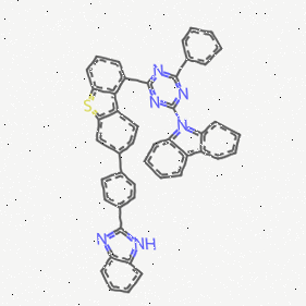 c1ccc(-c2nc(-c3cccc4sc5cc(-c6ccc(-c7nc8ccccc8[nH]7)cc6)ccc5c34)nc(-n3c4ccccc4c4ccccc43)n2)cc1